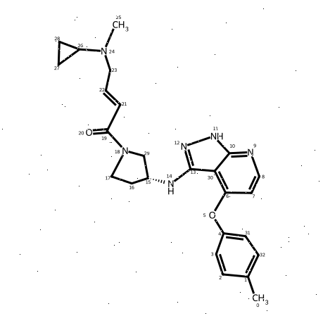 Cc1ccc(Oc2ccnc3[nH]nc(N[C@@H]4CCN(C(=O)/C=C/CN(C)C5CC5)C4)c23)cc1